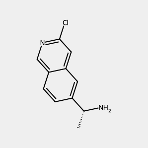 C[C@@H](N)c1ccc2cnc(Cl)cc2c1